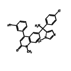 CCCc1cccc(-c2cc(=O)n(C)c3ccc(C(N)(c4ccc(Cl)cc4)c4cncn4C)cc23)c1